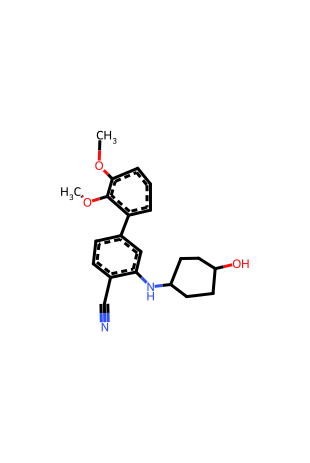 COc1cccc(-c2ccc(C#N)c(NC3CCC(O)CC3)c2)c1OC